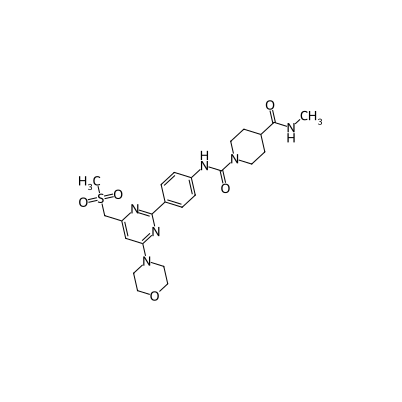 CNC(=O)C1CCN(C(=O)Nc2ccc(-c3nc(CS(C)(=O)=O)cc(N4CCOCC4)n3)cc2)CC1